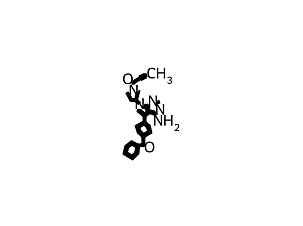 CC#CC(=O)N1CCC(n2cc(-c3ccc(C(=O)c4ccccc4)cc3)c3c(N)ncnc32)C1